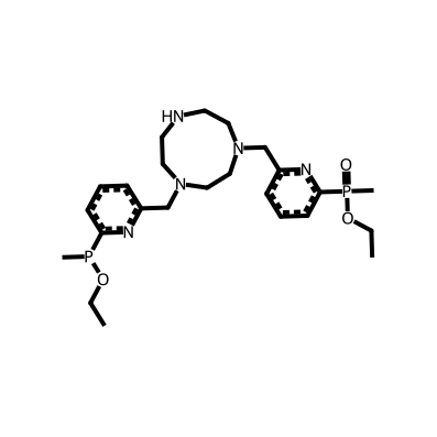 CCOP(C)c1cccc(CN2CCNCCN(Cc3cccc(P(C)(=O)OCC)n3)CC2)n1